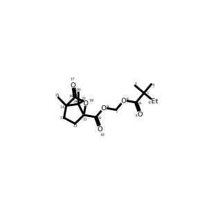 CCC(C)(C)C(=O)OCOC(=O)C12CCC(C)(C(=O)O1)C2(C)C